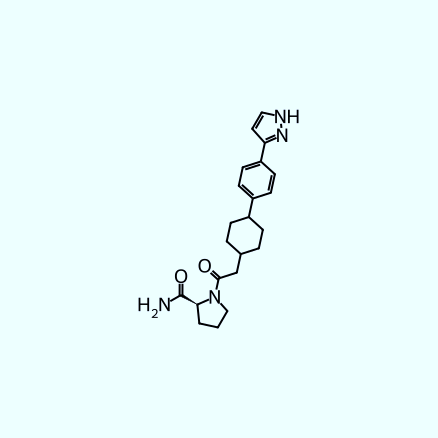 NC(=O)[C@@H]1CCCN1C(=O)CC1CCC(c2ccc(-c3cc[nH]n3)cc2)CC1